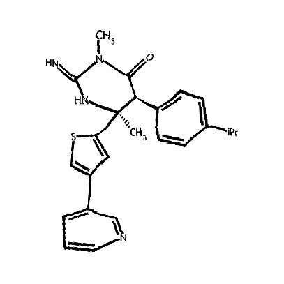 CC(C)c1ccc([C@@H]2C(=O)N(C)C(=N)N[C@]2(C)c2cc(-c3cccnc3)cs2)cc1